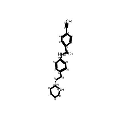 C#Cc1ccc(C(=O)Nc2ccc(CC[C@H]3CCCCN3)cc2)cc1